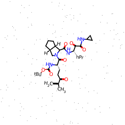 C=C(C)C(=O)CC[C@H](NC(=O)OC(C)(C)C)C(=O)N1C[C@@H]2CCC[C@@H]2C1C(=O)N[C@@H](CCC)C(=O)C(=O)NC1CC1